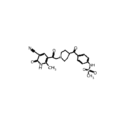 Cc1[nH]c(=O)c(C#N)cc1C(=O)CN1CCC(C(=O)c2ccc(NS(C)(=O)=O)cc2)CC1